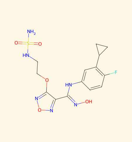 NS(=O)(=O)NCCOc1nonc1/C(=N/O)Nc1ccc(F)c(C2CC2)c1